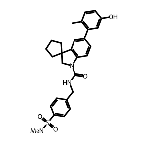 CNS(=O)(=O)c1ccc(CNC(=O)N2CC3(CCCC3)c3cc(-c4cc(O)ccc4C)ccc32)cc1